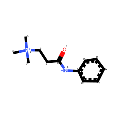 C[N+](C)(C)CCC(=O)Nc1cc[c]cc1